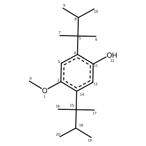 COc1cc(C(C)(C)C(C)C)c(O)cc1C(C)(C)C(C)C